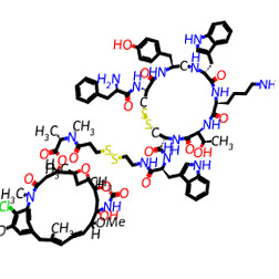 COc1cc2cc(c1Cl)N(C)C(=O)C[C@H](OC(=O)[C@H](C)N(C)C(=O)CCSSCCNC(=O)[C@H](Cc1c[nH]c3ccccc13)NC(=O)[C@@H]1CSSC[C@H](NC(=O)[C@H](N)Cc3ccccc3)C(=O)N[C@@H](Cc3ccc(O)cc3)CN[C@H](Cc3c[nH]c4ccccc34)C(=O)N[C@@H](CCCCN)C(=O)N[C@@H]([C@@H](C)O)C(=O)N1)[C@@]1(C)CC(C)(O1)[C@@H]1C[C@@](O)(NC(=O)O1)[C@H](OC)/C=C/C=C(\C)C2